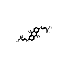 CCN(C=CN=C1C=C2C(=O)C3=CCC(=NC=CN(CC)CC)C=C3C(=O)C2=CC1)CC